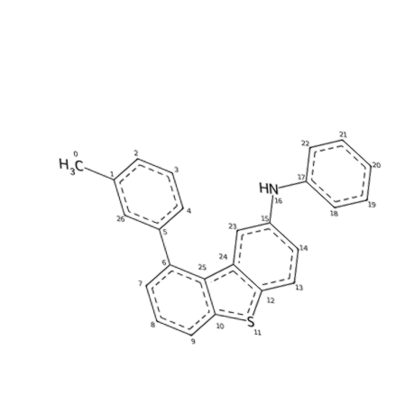 Cc1cccc(-c2cccc3sc4ccc(Nc5ccccc5)cc4c23)c1